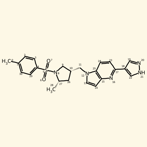 Cc1ccc(S(=O)(=O)N2C[C@H](Cn3ccc4nc(-c5cn[nH]c5)ccc43)C[C@@H]2C)cc1